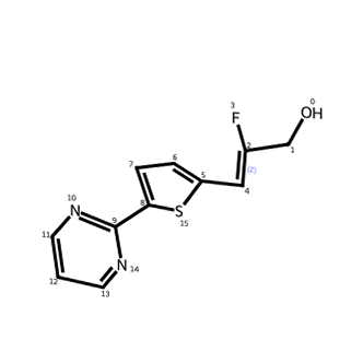 OC/C(F)=C/c1ccc(-c2ncccn2)s1